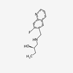 CC[C@@H](O)CNCc1cc2cccnc2cc1F